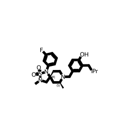 CC(C)Cc1cc(CN2CC[C@@]3(C[C@@H]2C)CN(C)S(=O)(=O)N3c2cccc(F)c2)ccc1O